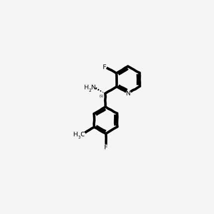 Cc1cc([C@H](N)c2ncccc2F)ccc1F